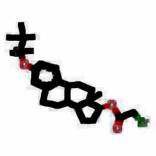 CC(C)(C)[Si](C)(C)Oc1ccc2c(c1)CCC1C2CC[C@@]2(C)C1CC[C@@H]2OC(=O)CBr